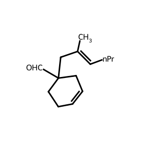 CCCC=C(C)CC1(C=O)CC=CCC1